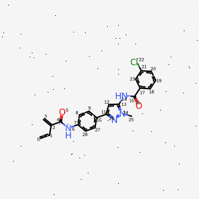 C=CC(=C)C(=O)Nc1ccc(-c2cc(NC(=O)c3cccc(Cl)c3)n(C)n2)cc1